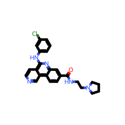 O=C(NCCN1CCCC1)c1ccc2c(c1)nc(Nc1cccc(Cl)c1)c1ccncc12